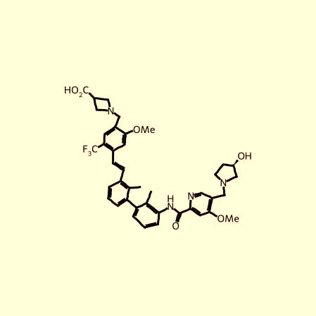 COc1cc(/C=C/c2cccc(-c3cccc(NC(=O)c4cc(OC)c(CN5CC[C@@H](O)C5)cn4)c3C)c2C)c(C(F)(F)F)cc1CN1CC(C(=O)O)C1